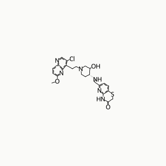 COc1ccc2ncc(Cl)c(CCN3CC[C@@H](NCc4ccc5c(n4)NC(=O)CS5)[C@H](O)C3)c2n1